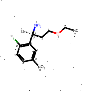 [C-]#[N+]COCC[C@@](N)(CC)c1cc([N+](=O)[O-])ccc1F